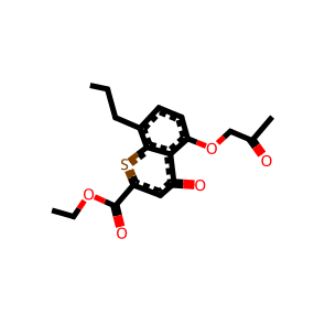 CCCc1ccc(OCC(C)=O)c2c(=O)cc(C(=O)OCC)sc12